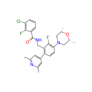 Cc1cc(-c2ccc(N3C[C@@H](C)O[C@@H](C)C3)c(F)c2CNC(=O)c2cccc(Cl)c2F)cc(C)n1